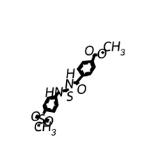 COC(=O)c1ccc(C(=O)NC(=S)Nc2ccc(S(C)(=O)=O)cc2)cc1